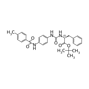 Cc1ccc(S(=O)(=O)Nc2ccc(NC(=O)N[C@@H](Cc3ccccc3)C(=O)OC(C)(C)C)cc2)cc1